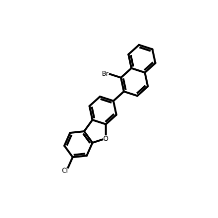 Clc1ccc2c(c1)oc1cc(-c3ccc4ccccc4c3Br)ccc12